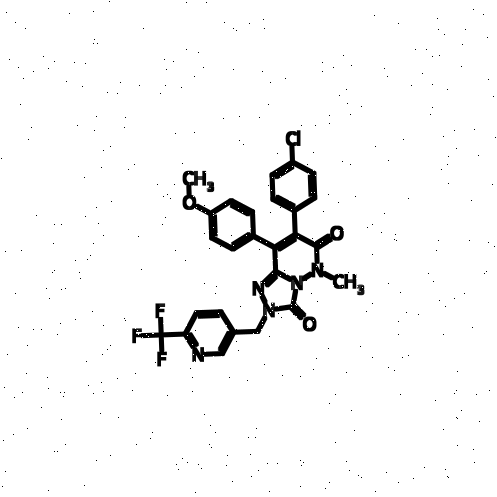 COc1ccc(-c2c(-c3ccc(Cl)cc3)c(=O)n(C)n3c(=O)n(Cc4ccc(C(F)(F)F)nc4)nc23)cc1